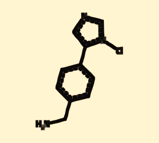 NCc1ccc(-c2cncn2Cl)cc1